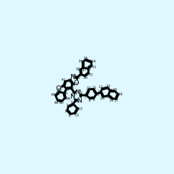 c1ccc(-c2nc(-c3ccc(-c4ccc5ccccc5c4)cc3)nc(-c3c4oc(-c5ccc6ccccc6c5)nc4cc4oc5ccccc5c34)n2)cc1